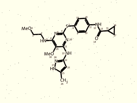 COCCNc1nc(Sc2ccc(NC(=O)C3CC3)cc2)nc(Nc2cc(C)[nH]n2)c1OC